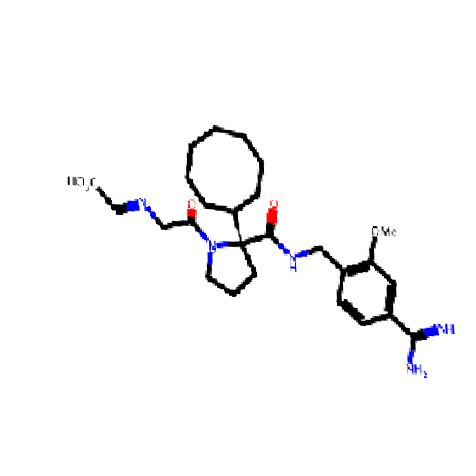 COc1cc(C(=N)N)ccc1CNC(=O)[C@]1(C2CCCCCCC2)CCCN1C(=O)CN=CC(=O)O